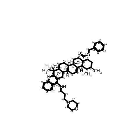 C[C@H]1[C@H](C)CC[C@]2(C(=O)OCc3ccccc3)CC[C@]3(C)C(=CC[C@@H]4[C@@]5(C)Cc6c(nc7ccccc7c6NCCCN6CCOCC6)C(C)(C)[C@@H]5CC[C@]43C)[C@H]12